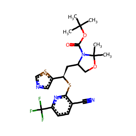 CC(C)(C)OC(=O)N1C(C[C@@H](Sc2nc(C(F)(F)F)ccc2C#N)c2cncs2)COC1(C)C